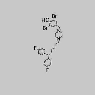 Oc1c(Br)cc(CN2CCN(CCCCCC(c3ccc(F)cc3)c3ccc(F)cc3)CC2)cc1Br